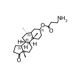 C[C@H]1C[C@@H]2[C@H](CC[C@]3(C)C(=O)CC[C@@H]23)[C@@]2(C)CC[C@H](OC(=O)CCN)CC12